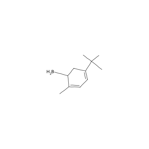 BC1CC(C(C)(C)C)=CC=C1C